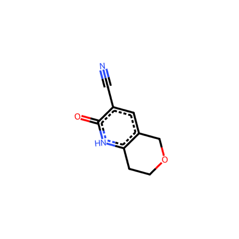 N#Cc1cc2c([nH]c1=O)CCOC2